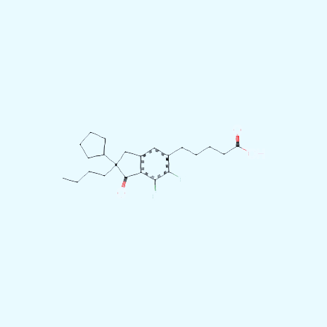 CCCCC1(C2CCCC2)Cc2cc(CCCCC(=O)O)c(Cl)c(Cl)c2C1=O